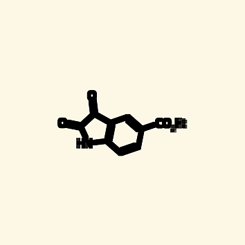 CCOC(=O)c1ccc2c(c1)C(=O)C(=O)N2